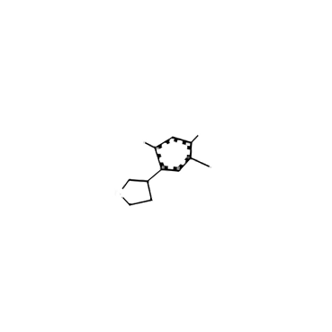 Oc1cc(Cl)c(Cl)cc1C1CCNC1